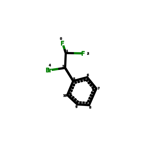 FC(F)C(Br)c1ccccc1